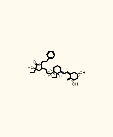 C=C1/C(=C\C=C2/CCC[C@]3(C)[C@@H]([C@H](C)CC4CC(O)(CC)C(=O)N4CCc4ccccc4)CC[C@@H]23)C[C@@H](O)C[C@@H]1O